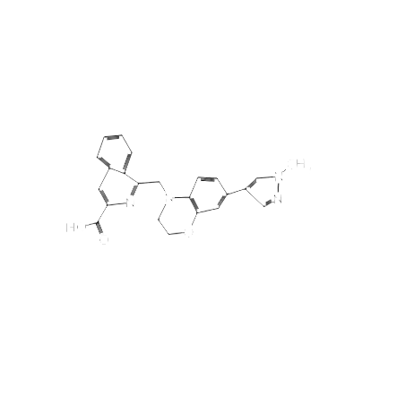 Cn1cc(-c2ccc3c(c2)OCCN3Cc2nc(C(=O)O)cc3ccccc23)cn1